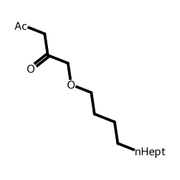 CCCCCCCCCCCOCC(=O)CC(C)=O